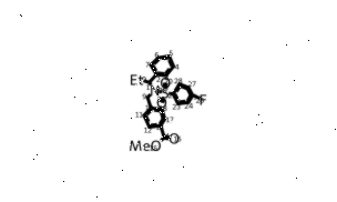 CCC(c1ccccc1)N(Cc1ccc(C(=O)OC)cc1)S(=O)(=O)c1ccc(F)cc1